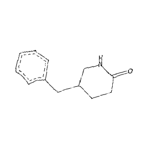 O=C1CCC(Cc2ccccc2)CN1